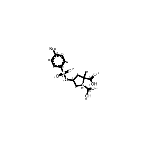 CC1(C(=O)O)CC(OS(=O)(=O)c2ccc(Br)cc2)CN1C(=O)O